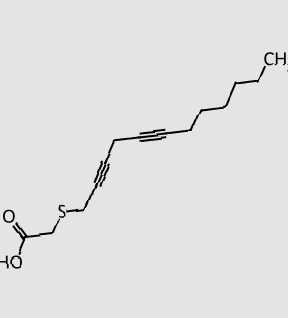 CCCCCCC#CCC#CCSCC(=O)O